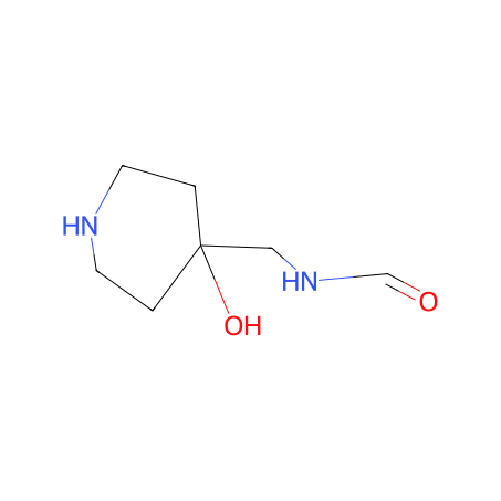 O=CNCC1(O)CCNCC1